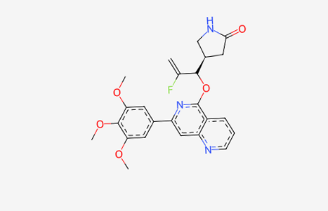 C=C(F)C(Oc1nc(-c2cc(OC)c(OC)c(OC)c2)cc2ncccc12)[C@H]1CNC(=O)C1